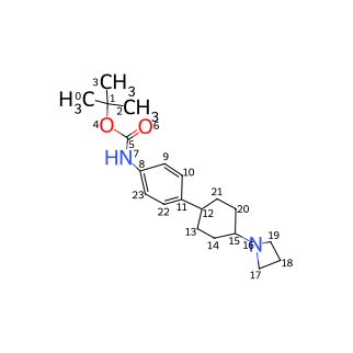 CC(C)(C)OC(=O)Nc1ccc(C2CCC(N3CCC3)CC2)cc1